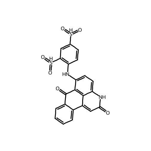 O=C1c2ccccc2-c2cc(=O)[nH]c3ccc(Nc4ccc([SH](=O)=O)cc4[SH](=O)=O)c1c23